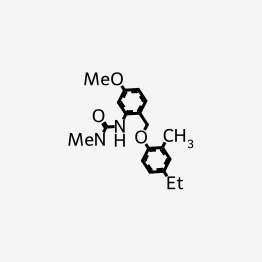 CCc1ccc(OCc2ccc(OC)cc2NC(=O)NC)c(C)c1